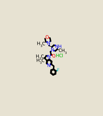 C[C@@H]1CN(CC(=O)N2CC(C)(C)c3cnc(Cc4ccccc4F)cc32)[C@@H](CN2CCOC[C@H]2C)CN1.Cl